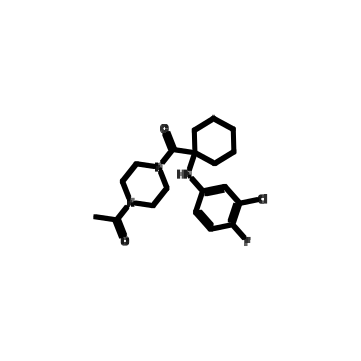 CC(=O)N1CCN(C(=O)C2(Nc3ccc(F)c(Cl)c3)C[CH]CCC2)CC1